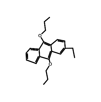 CCCOc1c2ccccc2c(OCCC)c2cc(CC)ccc12